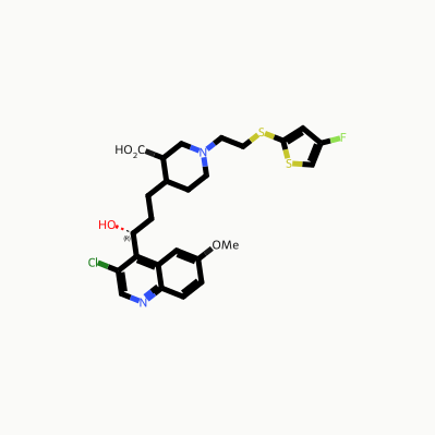 COc1ccc2ncc(Cl)c([C@H](O)CCC3CCN(CCSc4cc(F)cs4)CC3C(=O)O)c2c1